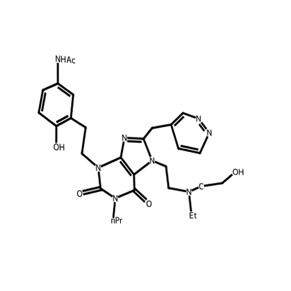 CCCn1c(=O)c2c(nc(Cc3ccnnc3)n2CCN(CC)CCO)n(CCc2cc(NC(C)=O)ccc2O)c1=O